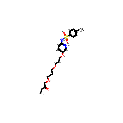 CCC(=O)COCCCOCCCOc1ccc(NS(=O)(=O)c2ccc(C)cc2)nc1